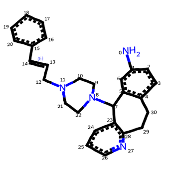 Nc1ccc2c(c1)C(N1CCN(C/C=C/c3ccccc3)CC1)c1cccnc1CC2